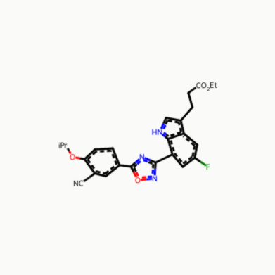 CCOC(=O)CCc1c[nH]c2c(-c3noc(-c4ccc(OC(C)C)c(C#N)c4)n3)cc(F)cc12